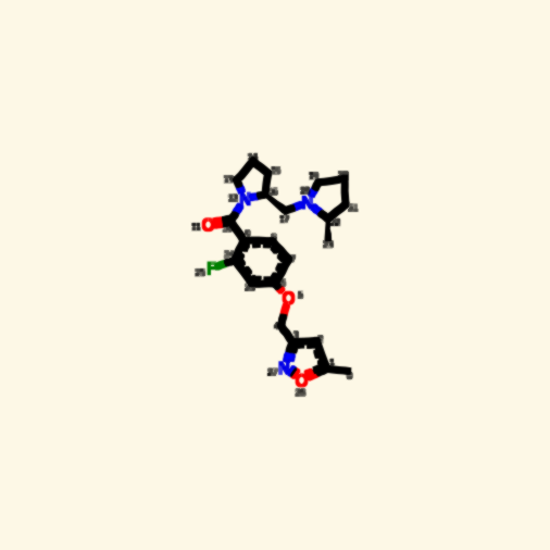 Cc1cc(COc2ccc(C(=O)N3CCC[C@H]3CN3CCC[C@H]3C)c(F)c2)no1